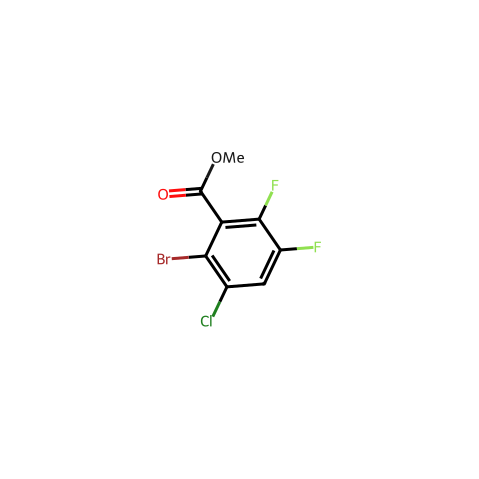 COC(=O)c1c(F)c(F)cc(Cl)c1Br